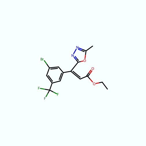 CCOC(=O)C=C(c1cc(Br)cc(C(F)(F)F)c1)c1nnc(C)o1